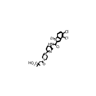 CCn1c(C(=O)Nc2ccc(N3CCN(C(=O)CC(C)(C)C(=O)O)CC3)nc2)cc2c(Cl)c(Cl)ccc21